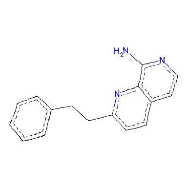 Nc1nccc2ccc(CCc3ccccc3)nc12